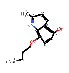 CCCCCCCCCCCCOc1ccc(Br)c2ccc(C)nc12